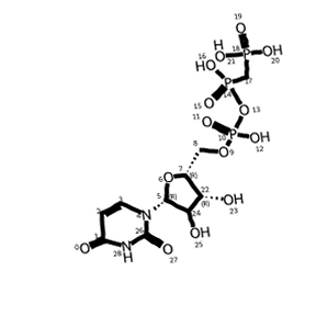 O=c1ccn([C@@H]2O[C@H](COP(=O)(O)OP(=O)(O)CP(=O)(O)O)[C@H](O)C2O)c(=O)[nH]1